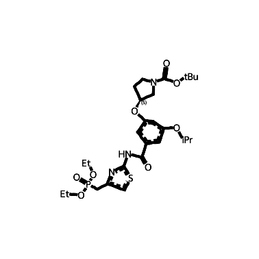 CCOP(=O)(Cc1csc(NC(=O)c2cc(OC(C)C)cc(O[C@H]3CCN(C(=O)OC(C)(C)C)C3)c2)n1)OCC